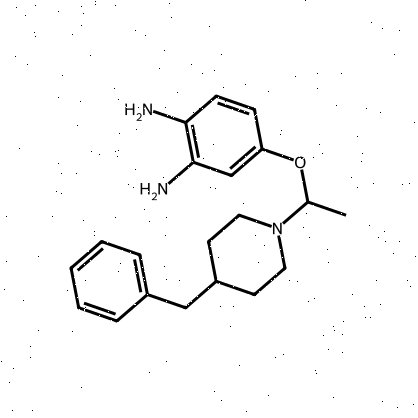 CC(Oc1ccc(N)c(N)c1)N1CCC(Cc2ccccc2)CC1